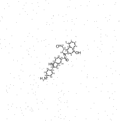 Cc1cccc2c(O)cc3c(c12)[C@H](CCl)CN3C(=O)c1ccc2[nH]c(-c3ccc(N)cc3)cc2c1